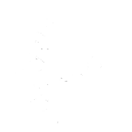 C=CC1C[C@]1(NC(=O)C1C[C@@H](OC(=O)N2CCc3ccccc32)CN1C(=O)[C@@H](NC(=O)OC(C)(C)C)C(C)(C)C)C(=O)NS(=O)(=O)C1CC1